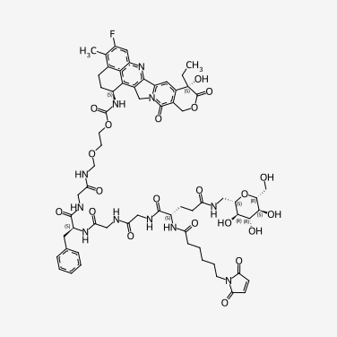 CC[C@@]1(O)C(=O)OCc2c1cc1n(c2=O)Cc2c-1nc1cc(F)c(C)c3c1c2[C@@H](NC(=O)OCCOCNC(=O)CNC(=O)[C@H](Cc1ccccc1)NC(=O)CNC(=O)CNC(=O)[C@H](CCC(=O)NC[C@@H]1O[C@H](CO)[C@@H](O)[C@H](O)[C@H]1O)NC(=O)CCCCCN1C(=O)C=CC1=O)CC3